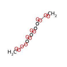 C=CC(=O)OCCCCOC(=O)c1ccc(-c2ccc(OC(=O)c3ccc(OC(=O)c4ccc(OCCOCCOC(=O)C=C)cc4)cc3)cc2)cc1